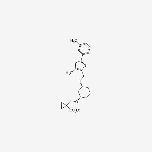 CCOC(=O)C1(CO[C@@H]2CCC[C@H](OCC3=C(C)CC(c4cccc(C)c4)=N3)C2)CC1